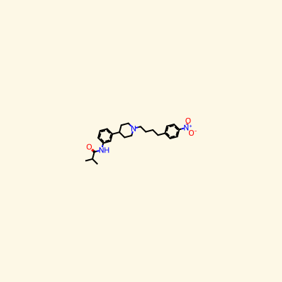 CC(C)C(=O)Nc1cccc(C2CCN(CCCCc3ccc([N+](=O)[O-])cc3)CC2)c1